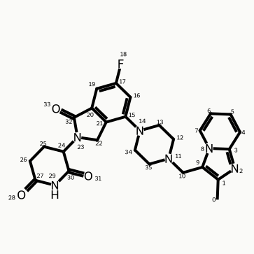 Cc1nc2ccccn2c1CN1CCN(c2cc(F)cc3c2CN(C2CCC(=O)NC2=O)C3=O)CC1